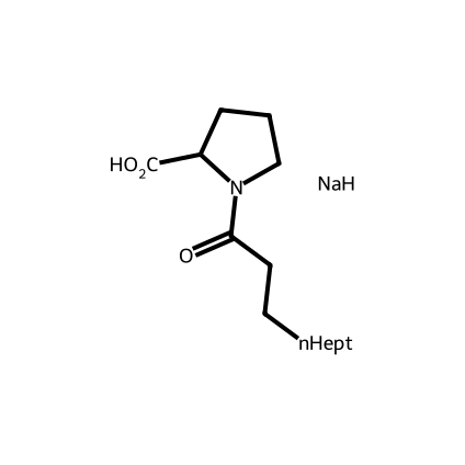 CCCCCCCCCC(=O)N1CCCC1C(=O)O.[NaH]